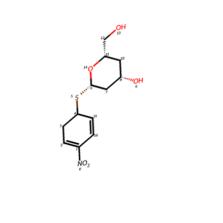 O=[N+]([O-])C1=CCC(S[C@H]2C[C@@H](O)C[C@@H](CO)O2)C=C1